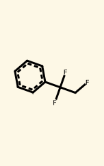 FCC(F)(F)c1[c]cccc1